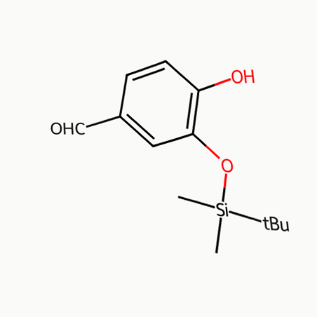 CC(C)(C)[Si](C)(C)Oc1cc(C=O)ccc1O